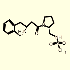 CS(=O)(=O)NC[C@@H]1CCCN1C(=O)C[C@H](N)Cc1ccccc1F